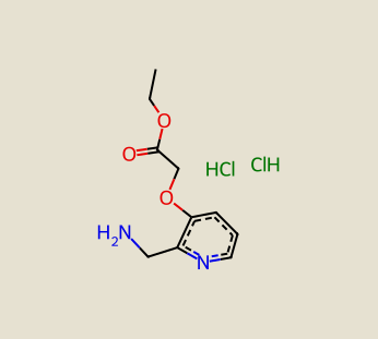 CCOC(=O)COc1cccnc1CN.Cl.Cl